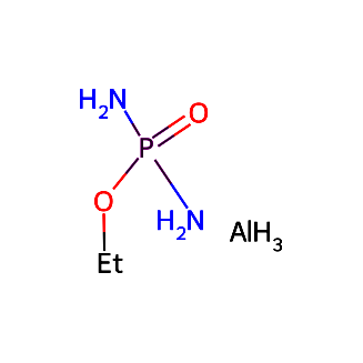 CCOP(N)(N)=O.[AlH3]